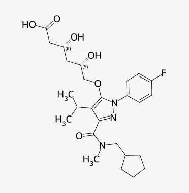 CC(C)c1c(C(=O)N(C)CC2CCCC2)nn(-c2ccc(F)cc2)c1OC[C@@H](O)C[C@@H](O)CC(=O)O